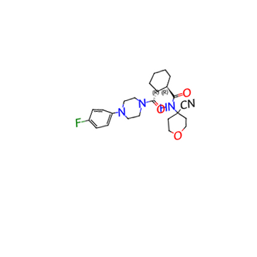 N#CC1(NC(=O)[C@@H]2CCCC[C@H]2C(=O)N2CCN(c3ccc(F)cc3)CC2)CCOCC1